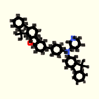 CC1(C)c2ccccc2-c2ccc(N(c3ccc(-c4ccc5oc6c7c(ccc6c5c4)-c4ccccc4C7(C)C)cc3)c3cccnc3)cc21